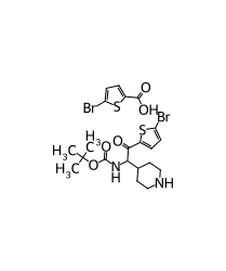 CC(C)(C)OC(=O)NC(C(=O)c1ccc(Br)s1)C1CCNCC1.O=C(O)c1ccc(Br)s1